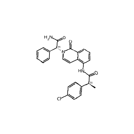 C[C@H](C(=O)Nc1cccc2c(=O)n([C@@H](C(N)=O)c3ccccc3)ccc12)c1ccc(Cl)cc1